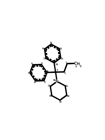 CCCC(c1ccccc1)(c1ccccc1)N1CCCCC1